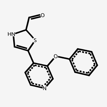 O=CC1NC=C(c2ccncc2Oc2ccccc2)S1